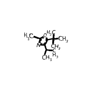 Cc1nc(C(C)C)c(C(C)(C)C)o1